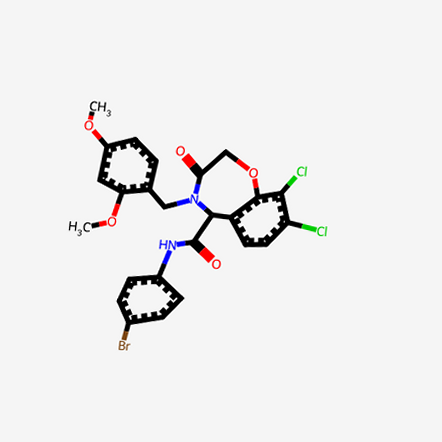 COc1ccc(CN2C(=O)COc3c(ccc(Cl)c3Cl)C2C(=O)Nc2ccc(Br)cc2)c(OC)c1